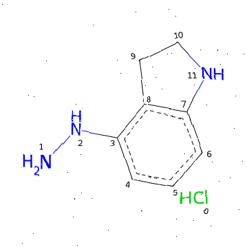 Cl.NNc1cccc2c1CCN2